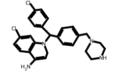 NC1=CCN(C(c2ccc(Cl)cc2)c2ccc(CN3CCNCC3)cc2)c2cc(Cl)ccc21